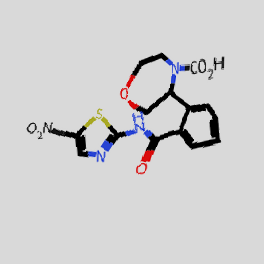 O=C(Nc1ncc([N+](=O)[O-])s1)c1ccccc1C1COCCN1C(=O)O